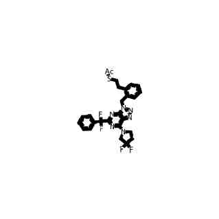 CC(=O)SCCc1ccccc1Cn1nnc2c(N3CCC(F)(F)C3)nc(C(F)(F)c3ccccc3)nc21